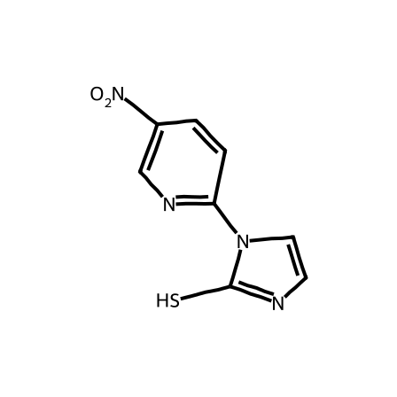 O=[N+]([O-])c1ccc(-n2ccnc2S)nc1